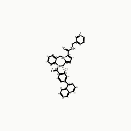 O=C(NCc1cccnc1)c1ccc2n1Cc1ccccc1N(C(=O)c1ccc(-c3cccc4ccccc34)cc1Cl)C2